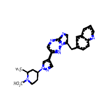 CC1CC(n2cc(-c3cnc4ncc(Cc5ccc6ncccc6c5)n4n3)cn2)CCN1C(=O)O